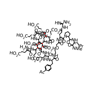 CNC(=O)[C@H](CC(C)C)NC(=O)C1CCCN1C(=O)[C@H](CCCNC(=N)N)NC(=O)COCCNC(=O)C(Cc1ccc(C(C)=O)cc1)NC(=O)[C@@H](CCC(=O)O)NC(=O)[C@@H](CCC(=O)O)NC(=O)[C@@H](CCC(=O)O)NC(=O)[C@@H](CCC(=O)O)NC(=O)[C@@H](CCC(=O)O)NC(=O)[C@@H](CCC(=O)O)NC(=O)[C@@H](CCC(=O)O)NC(=O)[C@@H](CCC(=O)O)NC(=O)[C@H](N)CCC(=O)O